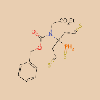 CCOC(=O)CN(C(=O)OCc1ccccc1)C(CC=S)(CC=S)[PH2]=S